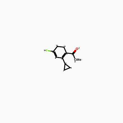 COC(=O)C1=C(C2CC2)C=C(F)CC1